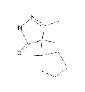 CC1=N[N]C(=O)C1(C)C1(C)CCCC1